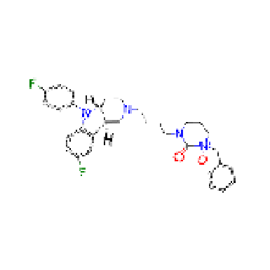 O=C1N(CCCCN2CC[C@@H]3[C@@H](C2)c2cc(F)ccc2N3c2ccc(F)cc2)CCC[N+]1([O-])Cc1ccccc1